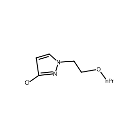 CCCOCCn1ccc(Cl)n1